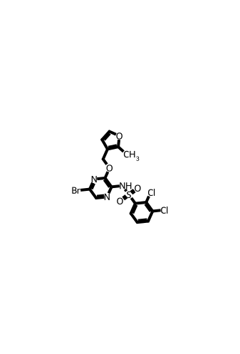 Cc1occc1COc1nc(Br)cnc1NS(=O)(=O)c1cccc(Cl)c1Cl